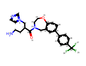 NCCC(Cn1ccnc1)C(=O)N1CCOc2ccc(-c3ccc(C(F)(F)F)cc3)cc2C1